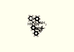 CC(C)(C)NS(=O)(=O)c1ccccc1-c1ccc(NC(=O)[C@@H]2CCCCN2c2cccc(C(=N)N)c2)cc1